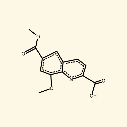 COC(=O)c1cc(OC)c2nc(C(=O)O)ccc2c1